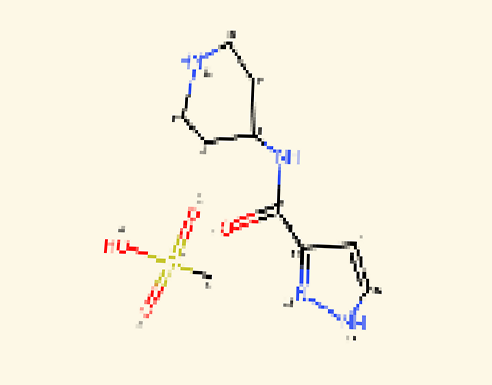 CS(=O)(=O)O.O=C(NC1CCNCC1)c1cc[nH]n1